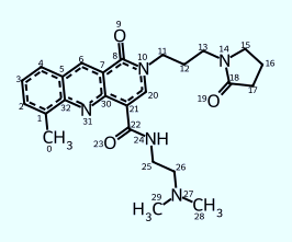 Cc1cccc2cc3c(=O)n(CCCN4CCCC4=O)cc(C(=O)NCCN(C)C)c3nc12